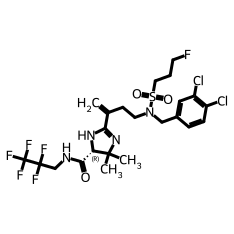 C=C(CCN(Cc1ccc(Cl)c(Cl)c1)S(=O)(=O)CCCF)C1=NC(C)(C)[C@H](C(=O)NCC(F)(F)C(F)(F)F)N1